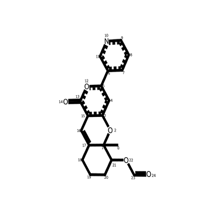 CC12Oc3cc(-c4cccnc4)oc(=O)c3C=C1CCCC2OC=O